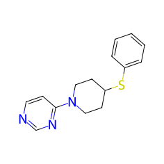 c1ccc(SC2CCN(c3ccncn3)CC2)cc1